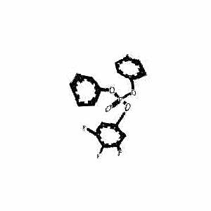 O=P(Oc1ccccc1)(Oc1ccccc1)Oc1cc(F)c(F)c(F)c1